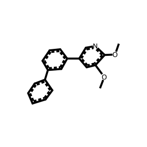 COc1cc(-c2cccc(-c3ccccc3)c2)cnc1OC